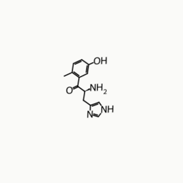 Cc1ccc(O)cc1C(=O)[C@@H](N)Cc1c[nH]cn1